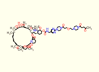 CO[C@H]1C[C@@H]2CC[C@@H](C)[C@@](O)(O2)C(=O)C(=O)N2CCCC[C@H]2C(=O)O[C@H]([C@H](N)C[C@@H]2CC[C@@H](OC(=O)NCc3cnc(N4CCN(C(=O)CCOCCN5CCN(C(=O)CCC(C)=O)CC5)CC4)nc3)[C@H](OC)C2)C[C@@H](OC)[C@H](C)/C=C(\C)[C@@H](O)[C@@H](O)C(=O)[C@H](C)C[C@H](C)/C=C/C=C/C=C/1C